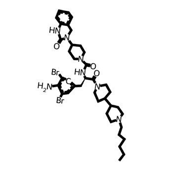 CCCCCCN1CCC(C2CCN(C(=O)[C@@H](Cc3cc(Br)c(N)c(Br)c3)NC(=O)N3CCC(N4Cc5ccccc5NC4=O)CC3)CC2)CC1